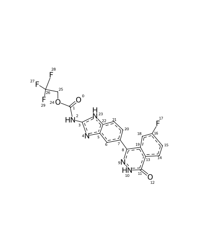 O=C(Nc1nc2cc(-c3n[nH]c(=O)c4ccc(F)cc34)ccc2[nH]1)OCC(F)(F)F